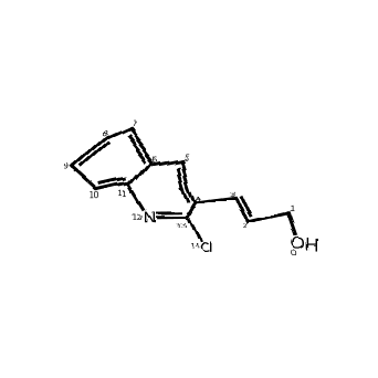 OCC=Cc1cc2ccccc2nc1Cl